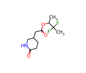 CC(OC(=O)CC1CCC(=O)NC1)C(C)(F)F